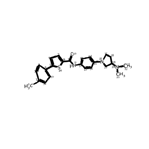 Cc1ccc(-c2ccc(C(=O)Nc3ccc(N4CCC(N(C)C)C4)cc3)s2)cc1